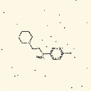 Brc1ccc(OCCN2CCCCC2)cc1.[MgH2]